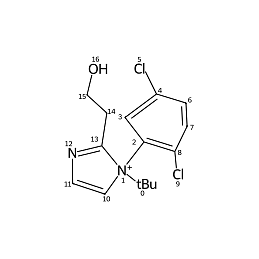 CC(C)(C)[N+]1(c2cc(Cl)ccc2Cl)C=CN=C1CCO